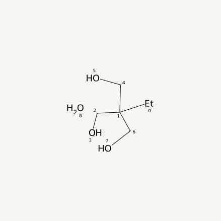 CCC(CO)(CO)CO.O